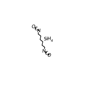 O=C=NCCCCCCN=C=O.[SiH4]